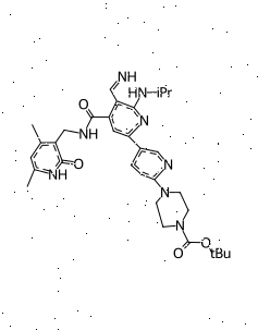 Cc1cc(C)c(CNC(=O)c2cc(-c3ccc(N4CCN(C(=O)OC(C)(C)C)CC4)nc3)nc(NC(C)C)c2C=N)c(=O)[nH]1